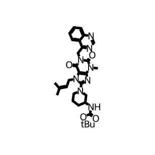 CC(C)=CCn1c(N2CCCC(NC(=O)OC(C)(C)C)C2)nc2c1c(=O)n(Cc1ncnc3ccccc13)c(=O)n2C